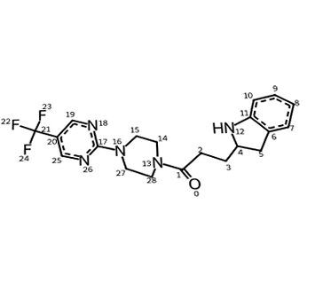 O=C(CCC1Cc2ccccc2N1)N1CCN(c2ncc(C(F)(F)F)cn2)CC1